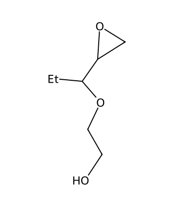 CCC(OCCO)C1CO1